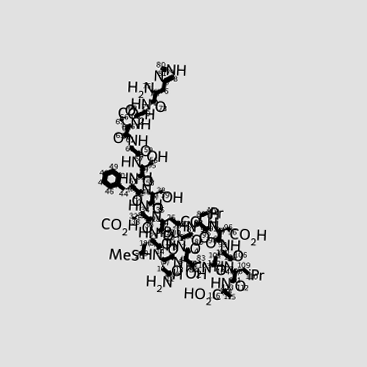 CC[C@H](C)[C@H](NC(=O)[C@@H](NC(=O)[C@H](CC(N)=O)NC(=O)[C@H](CCSC)NC(=O)[C@H](CCC(=O)O)NC(=O)[C@H](CC(=O)O)NC(=O)[C@H](CO)NC(=O)[C@H](Cc1ccccc1)NC(=O)[C@H](CO)NC(=O)CNC(=O)[C@H](CC(=O)O)NC(=O)CNC(=O)[C@@H](N)Cc1c[nH]cn1)[C@@H](C)O)C(=O)N[C@@H](CC(C)C)C(=O)N[C@@H](CC(=O)O)C(=O)N[C@@H](CC(N)=O)C(=O)N[C@@H](CC(C)C)C(=O)N[C@@H](C)C(=O)O